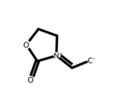 [CH2-]/C=[N+]1\CCOC1=O